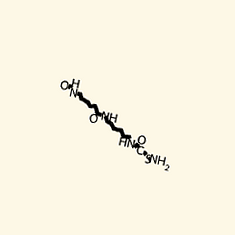 NSCCC(=O)NCCCCCCNC(=O)CCCCCNC=O